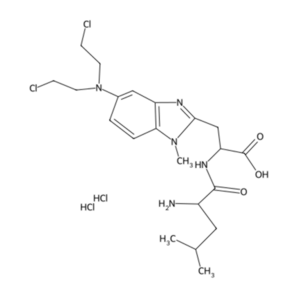 CC(C)CC(N)C(=O)NC(Cc1nc2cc(N(CCCl)CCCl)ccc2n1C)C(=O)O.Cl.Cl